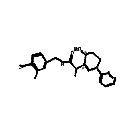 CO[C@H]1CCN(c2cccnn2)C[C@H]1N(C)C(=O)NCc1ccc(Cl)c(C)c1